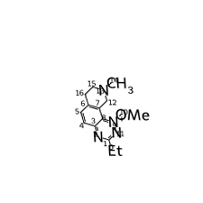 CCc1nc2ccc3c(c2[n+](OC)n1)CN(C)CC3